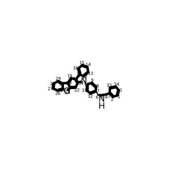 c1ccc(C2N[C@H]2c2ccc(-n3c4ccccc4c4cc5c(cc43)oc3ccccc35)cc2)cc1